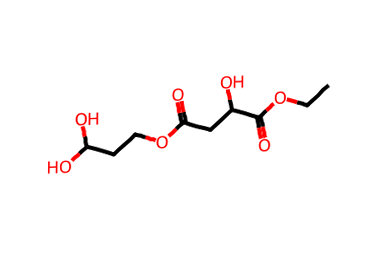 CCOC(=O)C(O)CC(=O)OCCC(O)O